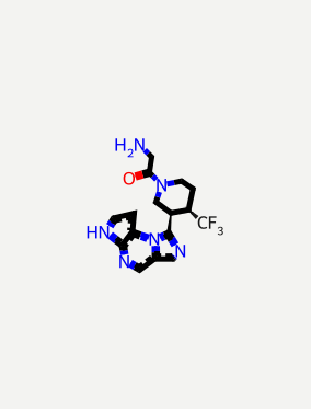 NCC(=O)N1CC[C@@H](C(F)(F)F)[C@@H](c2ncc3cnc4[nH]ccc4n23)C1